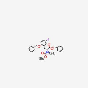 CN(C(=O)OC(C)(C)C)[C@@H](Cc1cc(I)ccc1OCc1ccccc1)C(=O)OCc1ccccc1